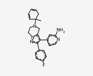 CC1(N2CCn3nc(-c4ccc(F)cc4)c(-c4ccnc(N)c4)c3C2)C=CC=CC1